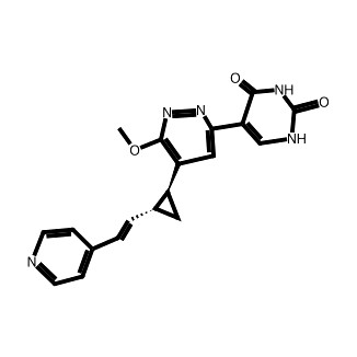 COc1nnc(-c2c[nH]c(=O)[nH]c2=O)cc1[C@H]1C[C@@H]1/C=C/c1ccncc1